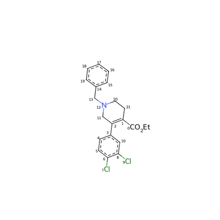 CCOC(=O)C1=C(c2ccc(Cl)c(Cl)c2)CN(Cc2ccccc2)CC1